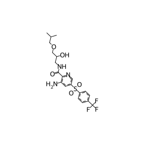 CC(C)COCC(O)CNC(=O)c1ncc(S(=O)(=O)c2ccc(C(F)(F)F)cc2)cc1N